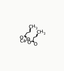 C=CCC(=O)[O-].C=CCC(=O)[O-].[Ca+2]